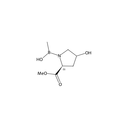 COC(=O)[C@@H]1CC(O)CN1B(C)O